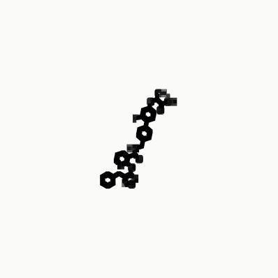 CC(Oc1ccc(-c2ccc(CNC(=O)c3cccnc3Oc3nonc3Cc3ccccc3)cc2)c(F)c1)C(=O)O